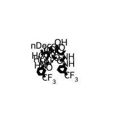 CCCCCCCCCCS(=O)(=O)N[C@H]1C(CO)OCC(NC(=O)Nc2cccc(C(F)(F)F)c2)C1O[C@@H](CNC(=O)Nc1cccc(C(F)(F)F)c1)OC(CO)[C@@H](O)C(C)O